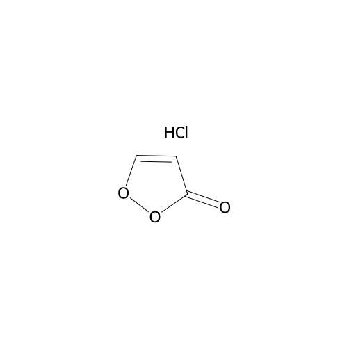 Cl.O=c1ccoo1